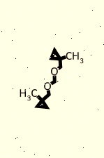 CC1(CO[CH]OCC2(C)CC2)CC1